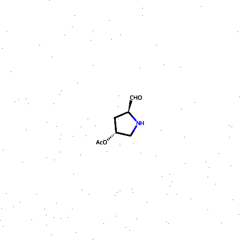 CC(=O)O[C@H]1CN[C@H](C=O)C1